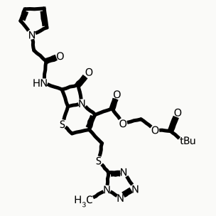 Cn1nnnc1SCC1=C(C(=O)OCOC(=O)C(C)(C)C)N2C(=O)C(NC(=O)Cn3cccc3)C2SC1